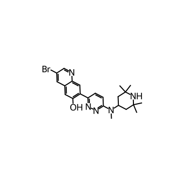 CN(c1ccc(-c2cc3ncc(Br)cc3cc2O)nn1)C1CC(C)(C)NC(C)(C)C1